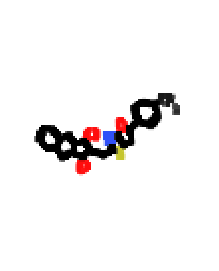 O=C1C(=Cc2nc3oc(-c4ccc(C(F)(F)F)cc4)cc3s2)C(=O)c2cc3ccccc3cc21